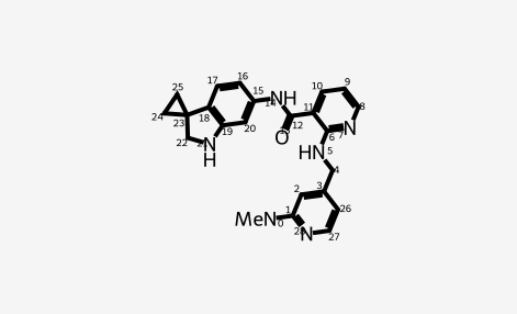 CNc1cc(CNc2ncccc2C(=O)Nc2ccc3c(c2)NCC32CC2)ccn1